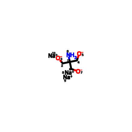 NC(C[O-])(C[O-])C[O-].[Na+].[Na+].[Na+]